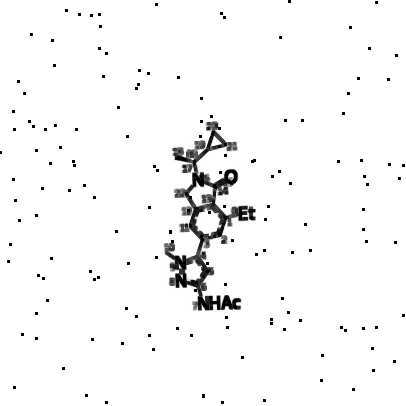 CCc1cc(-c2cc(NC(C)=O)nn2C)cc2c1C(=O)N([C@@H](C)C1CC1)C2